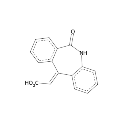 O=C(O)/C=C1/c2ccccc2NC(=O)c2ccccc21